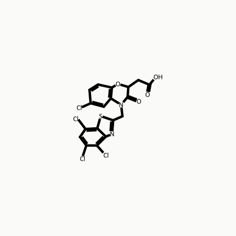 O=C(O)CC1Oc2ccc(Cl)cc2N(Cc2nc3c(Cl)c(Cl)cc(Cl)c3s2)C1=O